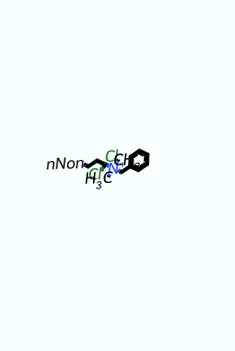 CCCCCCCCCCCC(Cl)(Cl)[N+](C)(C)Cc1ccccc1